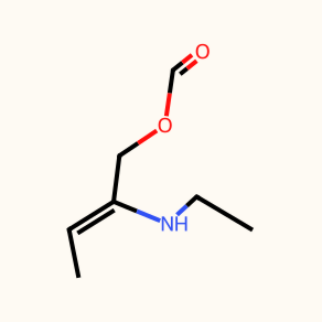 CC=C(COC=O)NCC